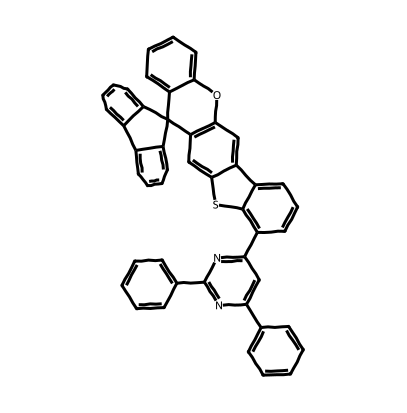 c1ccc(-c2cc(-c3cccc4c3sc3cc5c(cc34)Oc3ccccc3C53c4ccccc4-c4ccccc43)nc(-c3ccccc3)n2)cc1